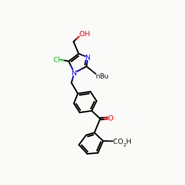 CCCCc1nc(CO)c(Cl)n1Cc1ccc(C(=O)c2ccccc2C(=O)O)cc1